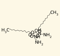 CCCCCCCCCCCCC(=O)O[C@@H](C(=O)NCCN)[C@@H](OC(=O)CCCCCCCCCCCC)C(=O)NCCN